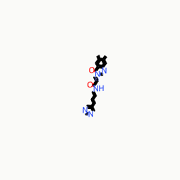 Cc1cc2ncn(/C=C/C(=O)NCCCCc3cncnc3)c(=O)c2cc1C